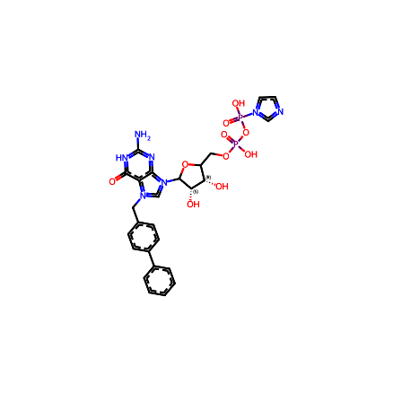 Nc1nc2c(c(=O)[nH]1)[n+](Cc1ccc(-c3ccccc3)cc1)cn2C1OC(COP(=O)(O)OP(=O)(O)n2ccnc2)[C@H](O)[C@@H]1O